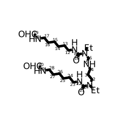 CCN(CCCNCN(CC)C(=O)NCCCCCCNC=O)C(=O)NCCCCCCNC=O